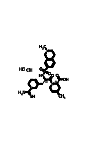 CC1=CCN(C(=O)[C@H](CC2=CCCN(C(=N)N)C2)NS(=O)(=O)c2ccc3c(c2)CN(C)CC3)[C@@H](C(=O)O)C1.Cl.Cl